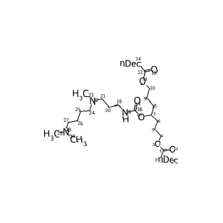 CCCCCCCCCCC(=O)OCCCC(CCCOC(=O)CCCCCCCCCC)OC(=O)NCCCN(C)CCCCN(C)C